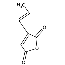 C/C=C/C1=CC(=O)OC1=O